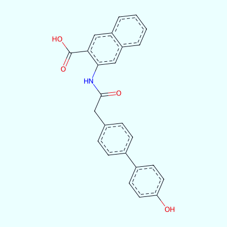 O=C(Cc1ccc(-c2ccc(O)cc2)cc1)Nc1cc2ccccc2cc1C(=O)O